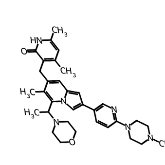 Cc1cc(C)c(Cc2cc3cc(-c4ccc(N5CCN(C)CC5)nc4)cn3c(C(C)N3CCOCC3)c2C)c(=O)[nH]1